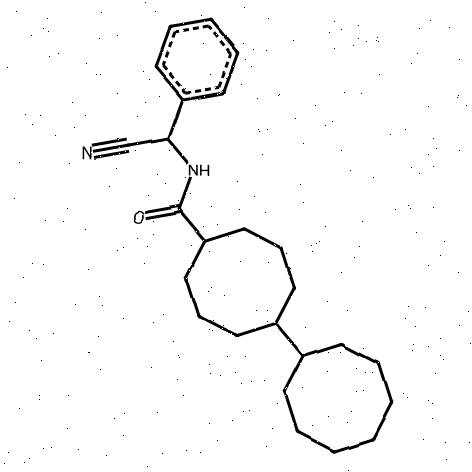 N#CC(NC(=O)C1CCCC(C2CCCCCCC2)CCC1)c1ccccc1